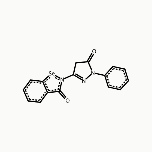 O=C1CC(n2[se]c3ccccc3c2=O)=NN1c1ccccc1